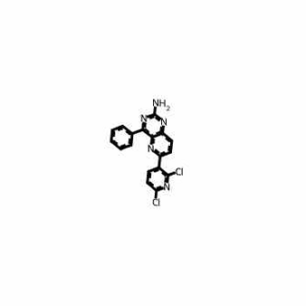 Nc1nc(-c2ccccc2)c2nc(-c3ccc(Cl)nc3Cl)ccc2n1